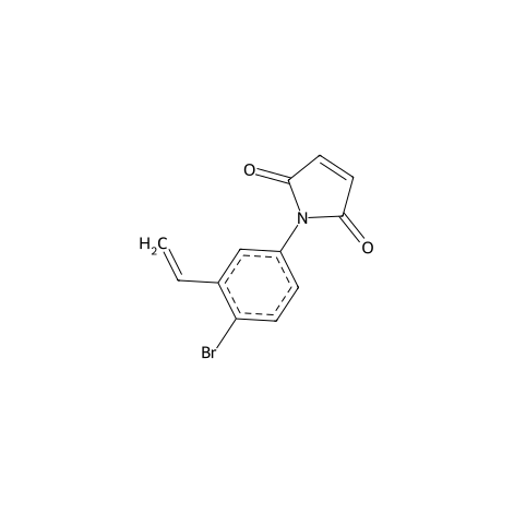 C=Cc1cc(N2C(=O)C=CC2=O)ccc1Br